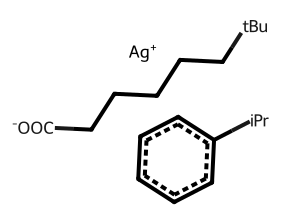 CC(C)(C)CCCCCC(=O)[O-].CC(C)c1ccccc1.[Ag+]